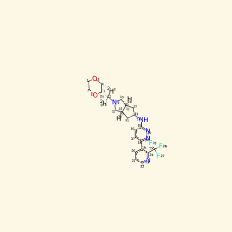 [2H]C([2H])([C@H]1COCCO1)N1C[C@H]2CC(Nc3ccc(-c4cccnc4C(F)(F)F)nn3)C[C@H]2C1